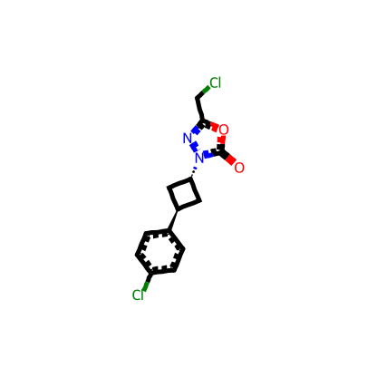 O=c1oc(CCl)nn1[C@H]1C[C@H](c2ccc(Cl)cc2)C1